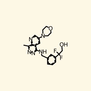 Cc1nnc(NCc2cccc(C(F)(F)CO)c2)c2cc(N3CCOCC3)cnc12